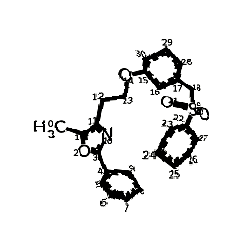 Cc1oc(-c2ccccc2)nc1CCOc1[c]c(CS(=O)(=O)c2ccccc2)ccc1